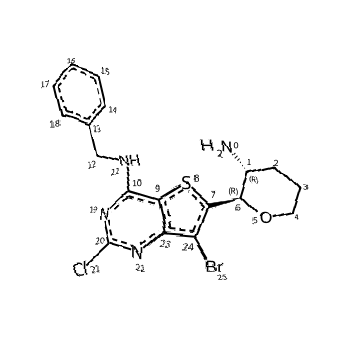 N[C@@H]1CCCO[C@H]1c1sc2c(NCc3ccccc3)nc(Cl)nc2c1Br